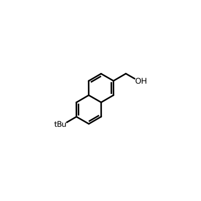 CC(C)(C)C1=CC2C=CC(CO)=CC2C=C1